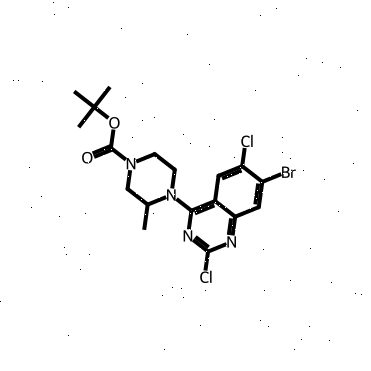 CC1CN(C(=O)OC(C)(C)C)CCN1c1nc(Cl)nc2cc(Br)c(Cl)cc12